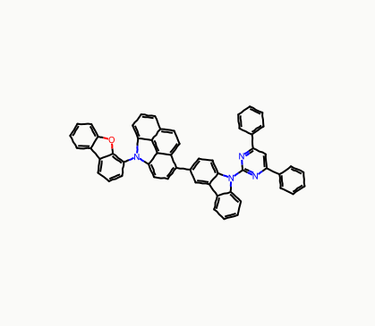 c1ccc(-c2cc(-c3ccccc3)nc(-n3c4ccccc4c4cc(-c5ccc6c7c5ccc5cccc(c57)n6-c5cccc6c5oc5ccccc56)ccc43)n2)cc1